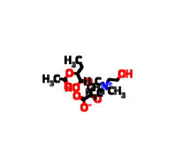 CC(=O)C(=O)[O-].CCC(OC(C)=O)C(=O)O.C[N+](C)(C)CCO